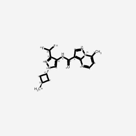 Cc1ccnc2c(C(=O)Nc3cn([C@H]4C[C@H](C)C4)nc3C(F)F)cnn12